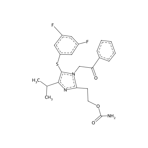 CC(C)c1nc(CCOC(N)=O)n(CC(=O)c2ccccc2)c1Sc1cc(F)cc(F)c1